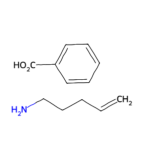 C=CCCCN.O=C(O)c1ccccc1